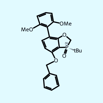 COc1cccc(OC)c1-c1ccc(OCc2ccccc2)c2c1OC[P@]2(=O)C(C)(C)C